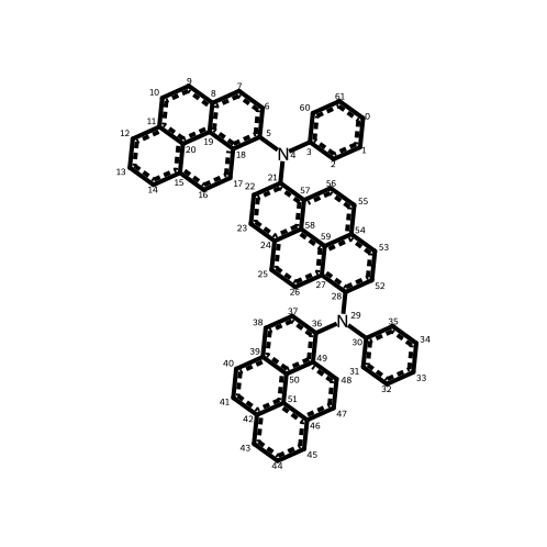 c1ccc(N(c2ccc3ccc4cccc5ccc2c3c45)c2ccc3ccc4c(N(c5ccccc5)c5ccc6ccc7cccc8ccc5c6c78)ccc5ccc2c3c54)cc1